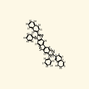 C1=Cc2ccc(-c3nc4cc5c(cc4n3-c3ccccc3)sc3cc4c(cc35)nc(-c3ccc5ccccc5c3)n4-c3ccccc3)cc2CC1